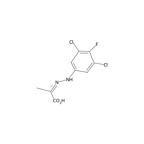 C/C(=N/Nc1cc(Cl)c(F)c(Cl)c1)C(=O)O